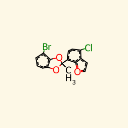 CC1(c2ccc(Cl)c3ccoc23)Oc2cccc(Br)c2O1